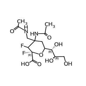 CC(=O)NCC1(NC(C)=O)CC([C@H](O)[C@H](O)CO)O[C@@](F)(C(=O)O)C1F